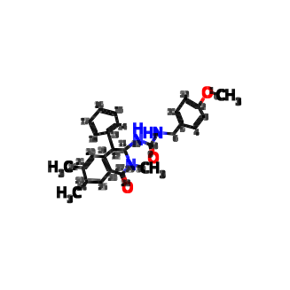 COc1ccc(CNC(=O)Nc2c(-c3ccccc3)c3cc(C)c(C)cc3c(=O)n2C)cc1